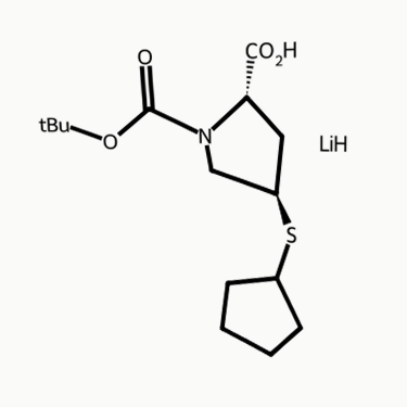 CC(C)(C)OC(=O)N1C[C@H](SC2CCCC2)C[C@H]1C(=O)O.[LiH]